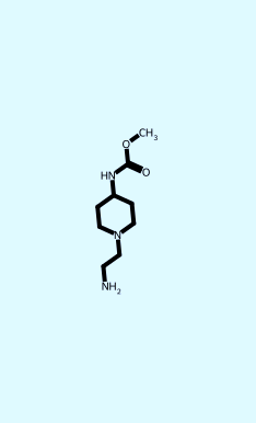 COC(=O)NC1CCN(CCN)CC1